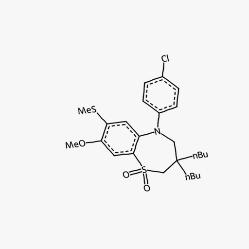 CCCCC1(CCCC)CN(c2ccc(Cl)cc2)c2cc(SC)c(OC)cc2S(=O)(=O)C1